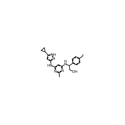 Cc1nc(Nc2cc(C3CC3)[nH]n2)cc(NC(CO)c2ccc(F)cc2)n1